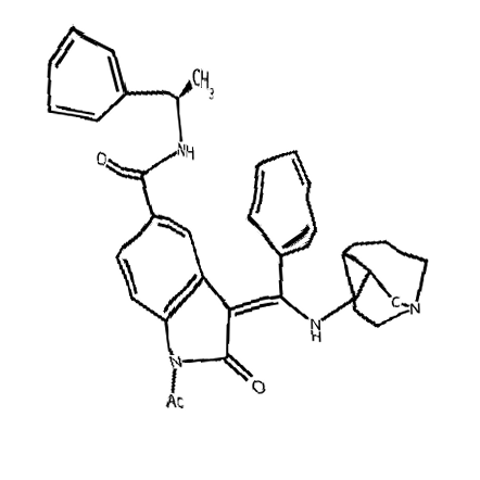 CC(=O)N1C(=O)/C(=C(\NC2CN3CCC2CC3)c2ccccc2)c2cc(C(=O)N[C@H](C)c3ccccc3)ccc21